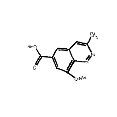 COC(=O)c1cc(OC)c2nnc(C)cc2c1